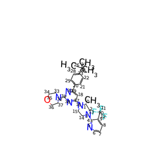 C[C@@H]1CN(c2ncccc2C(F)(F)F)CCN1c1cc(-c2ccc(C(C)(C)C)cc2)nc(N2CCOCC2)n1